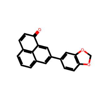 O=C1C=Cc2cccc3cc(-c4ccc5c(c4)OCO5)cc1c23